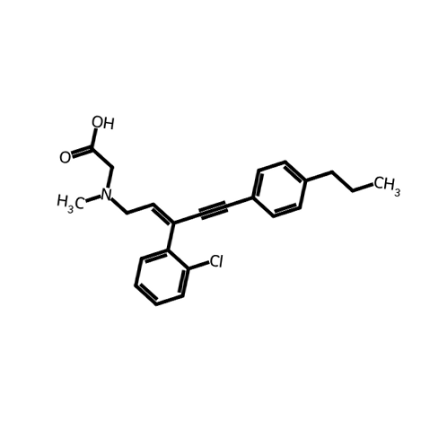 CCCc1ccc(C#CC(=CCN(C)CC(=O)O)c2ccccc2Cl)cc1